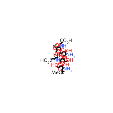 COC(C)(C)C1OC(CO)C(OC2OC(CO)C(OC3OC(CO)C(OC4OC(CO)C(OC(C)(C)C)C(O)C4NCCC(=O)O)C(O)C3N)C(O)C2NCC(CCC(=O)O)C(=O)O)C(O)C1N